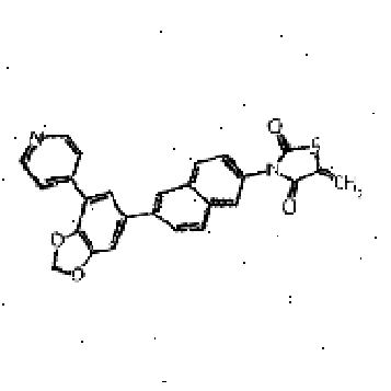 C=C1SC(=O)N(c2ccc3cc(-c4cc5c(c(-c6ccncc6)c4)OCO5)ccc3c2)C1=O